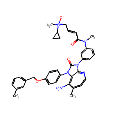 CC1=C=CN=c2c(n(-c3ccc(OCc4cccc(C)c4)cc3)c(=O)n2-c2cccc(N(C)C(=O)/C=C/C[N+](C)([O-])C3CC3)c2)=C1N